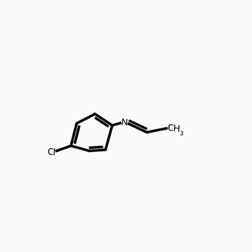 C/C=N/c1ccc(Cl)cc1